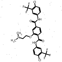 CN(C)CCOc1cc(C(=O)Nc2ccc(Cl)c(C(F)(F)F)c2)ccc1C(=O)Nc1ccc(Cl)c(C(F)(F)F)c1